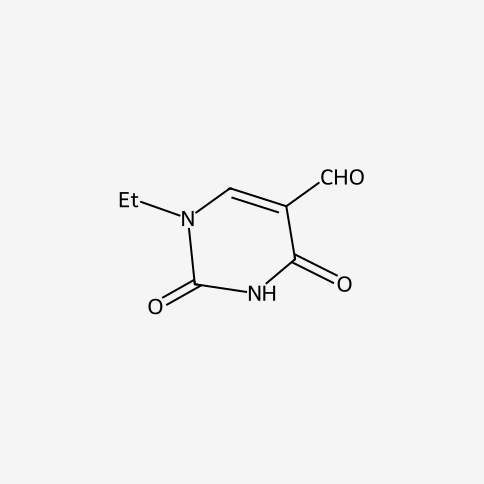 CCn1cc(C=O)c(=O)[nH]c1=O